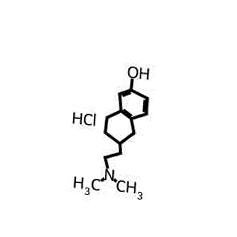 CN(C)CCC1CCc2cc(O)ccc2C1.Cl